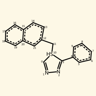 C1=NN=C(c2ccccc2)[SH]1Cc1ccc2ccccc2c1